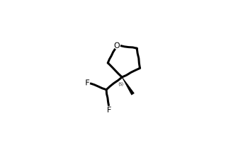 C[C@]1(C(F)F)CCOC1